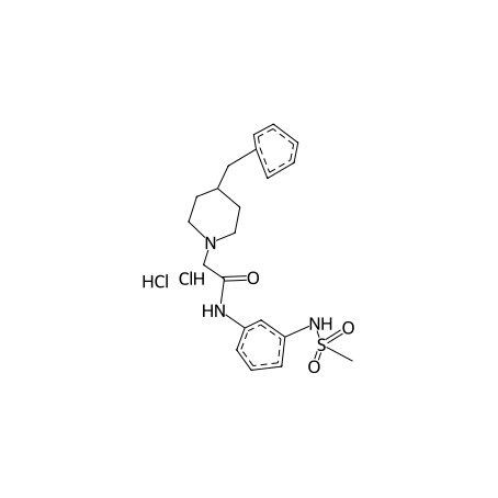 CS(=O)(=O)Nc1cccc(NC(=O)CN2CCC(Cc3ccccc3)CC2)c1.Cl.Cl